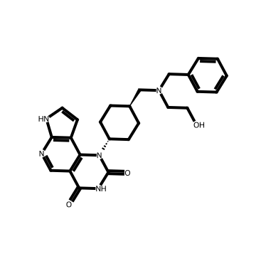 O=c1[nH]c(=O)n([C@H]2CC[C@H](CN(CCO)Cc3ccccc3)CC2)c2c1cnc1[nH]ccc12